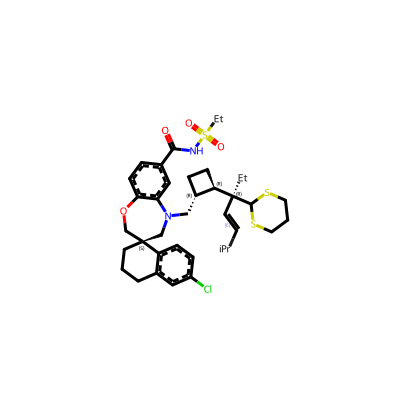 CC[C@@](/C=C/C(C)C)(C1SCCCS1)[C@@H]1CC[C@H]1CN1C[C@@]2(CCCc3cc(Cl)ccc32)COc2ccc(C(=O)NS(=O)(=O)CC)cc21